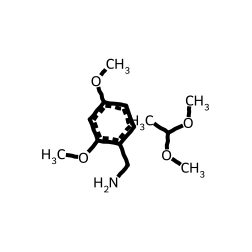 COC(C)OC.COc1ccc(CN)c(OC)c1